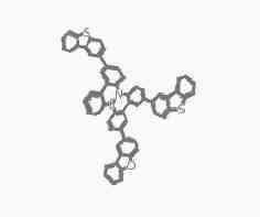 c1ccc2c(c1)B1c3ccc(-c4ccc5oc6ccccc6c5c4)cc3-c3cc(-c4ccc5sc6ccccc6c5c4)ccc3N1c1ccc(-c3ccc4sc5ccccc5c4c3)cc1-2